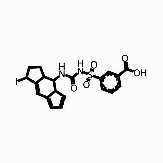 O=C(NC1C2C=CC=C2C=C2C(I)CCC21)NS(=O)(=O)c1cccc(C(=O)O)c1